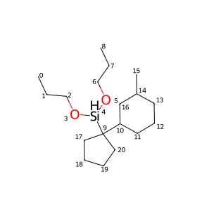 CCCO[SiH](OCCC)C1(C2CCCC(C)C2)CCCC1